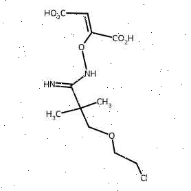 CC(C)(COCCCl)C(=N)NOC(=CC(=O)O)C(=O)O